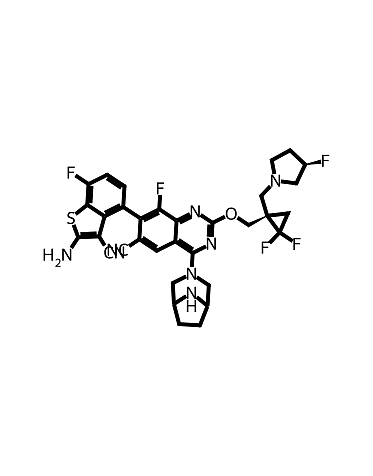 N#Cc1cc2c(N3CC4CCC(C3)N4)nc(OC[C@@]3(CN4CC[C@@H](F)C4)CC3(F)F)nc2c(F)c1-c1ccc(F)c2sc(N)c(C#N)c12